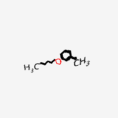 CCCCCCOc1cccc(CC)c1